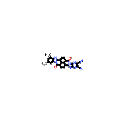 Cc1cc(C)c2nc3c4ccc5c(=O)n6c7nc(C#N)c(C#N)nc7nc6c6ccc(c(=O)n3c2c1)c4c56